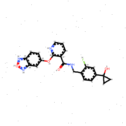 O=C(NCc1ccc(C2(O)CC2)cc1F)c1cccnc1Oc1ccc2nonc2c1